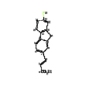 CCOC(=O)C=Cc1ccc2c(c1)Cc1cc(F)ccc1-2